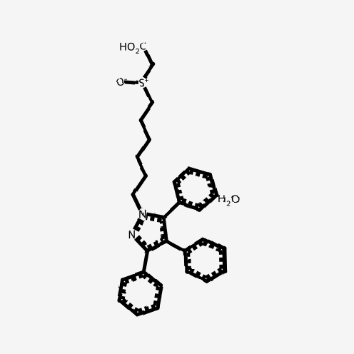 O.O=C(O)C[S+]([O-])CCCCCCn1nc(-c2ccccc2)c(-c2ccccc2)c1-c1ccccc1